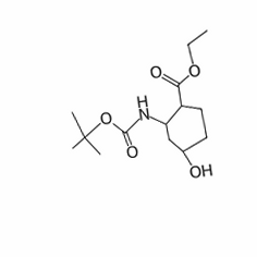 CCOC(=O)C1CCC(O)CC1NC(=O)OC(C)(C)C